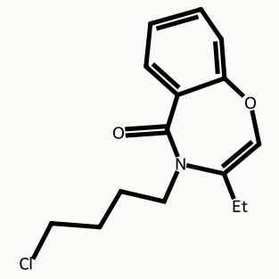 CCC1=COc2ccccc2C(=O)N1CCCCCl